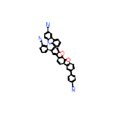 N#Cc1ccc(-c2ccc3oc4c(ccc5c6cc(-c7cccc(C#N)c7-n7c8ccccc8c8cc(C#N)ccc87)ccc6oc54)c3c2)cc1